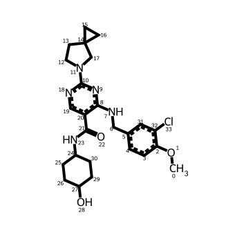 COc1ccc(CNc2nc(N3CCC4(CC4)C3)ncc2C(=O)NC2CCC(O)CC2)cc1Cl